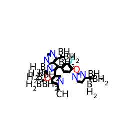 BC(B)(B)Oc1cc(C#C)ncc1-c1c(-c2ccc(Oc3nccc(C(B)(B)B)n3)c(F)c2)c2c(C(B)(B)B)ncnc2n1C(B)(B)B